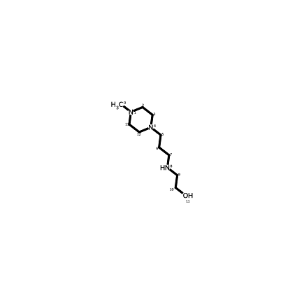 CN1CCN(CCCNCCO)CC1